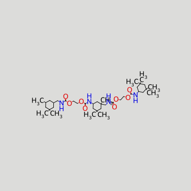 CC1CC(CNC(=O)OCCOC(=O)NC2CC(C)(C)CC(C)(CNC(=O)OCCOC(=O)NC3CC(C)(C)CC(C)(C)C3)C2)CC(C)(C)C1